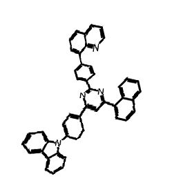 C1=C(c2cc(-c3cccc4ccccc34)nc(-c3ccc(-c4cccc5cccnc45)cc3)n2)CCC(n2c3ccccc3c3ccccc32)=C1